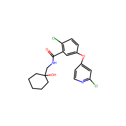 O=C(NCC1(O)CCCCC1)c1cc(Oc2ccnc(Cl)c2)ccc1Cl